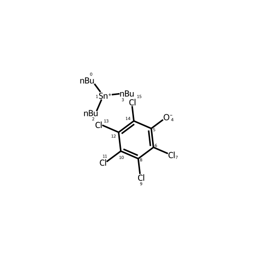 CCC[CH2][Sn+]([CH2]CCC)[CH2]CCC.[O-]c1c(Cl)c(Cl)c(Cl)c(Cl)c1Cl